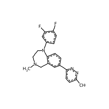 [CH]c1ccc(-c2ccc3c(c2)CN(C)CCN3c2ccc(F)c(F)c2)nn1